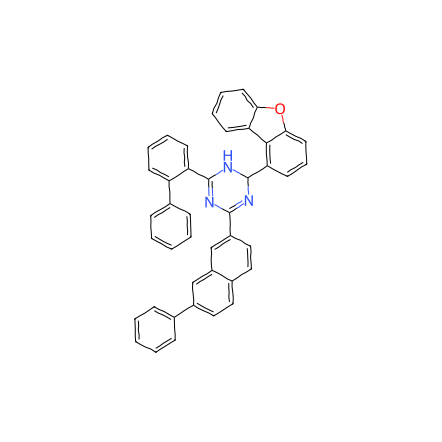 c1ccc(-c2ccc3ccc(C4=NC(c5cccc6oc7ccccc7c56)NC(c5ccccc5-c5ccccc5)=N4)cc3c2)cc1